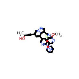 COc1ncc(CN2C3CC2CN(c2ccc(-c4cc(C#C[C@@H](C)O)cn5ncc(C#N)c45)cn2)C3)cc1F